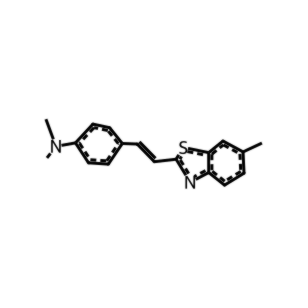 Cc1ccc2nc(C=Cc3ccc(N(C)C)cc3)sc2c1